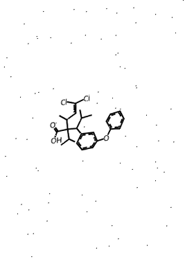 CC(C)C(c1cccc(Oc2ccccc2)c1)C(C(=O)O)(C(C)C)C(C)C=C(Cl)Cl